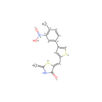 C=c1[nH]c(=O)c(=Cc2cc(-c3ccc(C)c([N+](=O)O)c3)cs2)s1